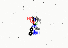 CCCCc1nc(Cl)c(COC(=O)C(C(C)O)N(C)C)n1Cc1ccc(-c2ccccc2-c2nn[nH]n2)cc1